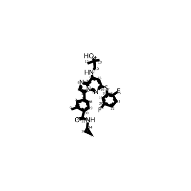 Cc1cc(-c2cnc3c(NCC(C)(C)O)cc(Sc4cc(F)ccc4F)nn23)ccc1C(=O)NC1CC1